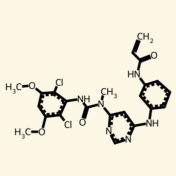 C=CC(=O)Nc1cccc(Nc2cc(N(C)C(=O)Nc3c(Cl)c(OC)cc(OC)c3Cl)ncn2)c1